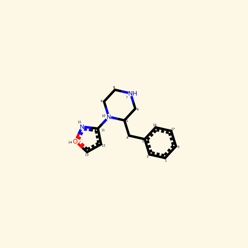 c1ccc(CC2CNCCN2c2ccon2)cc1